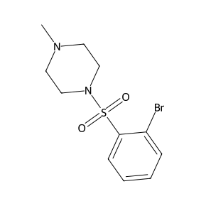 CN1CCN(S(=O)(=O)c2ccccc2Br)CC1